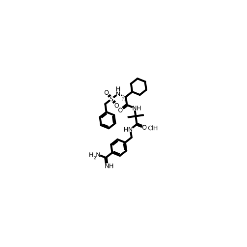 CC(C)(NC(=O)[C@H](NS(=O)(=O)Cc1ccccc1)C1CCCCC1)C(=O)NCc1ccc(C(=N)N)cc1.Cl